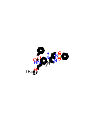 CC(C)(C)[Si](C)(C)OCCCC1(NC(=O)OCc2ccccc2)CCC(Nc2c([N+](=O)[O-])cnc3c2ccn3S(=O)(=O)c2ccccc2)CC1